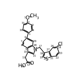 COc1ccc(-c2ccc3c(CC(=O)O)cn(Cc4csc5ccc(Cl)cc45)c3c2)cc1